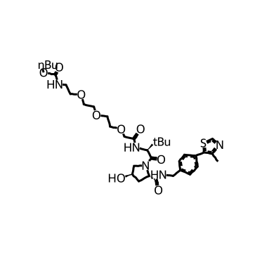 CCCCOC(=O)NCCOCCOCCOCC(=O)N[C@H](C(=O)N1C[C@H](O)C[C@H]1C(=O)NCc1ccc(-c2scnc2C)cc1)C(C)(C)C